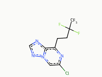 FC(F)(F)C(F)(F)CCc1nc(Cl)cn2ncnc12